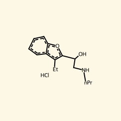 CCCNCC(O)c1oc2ccccc2c1CC.Cl